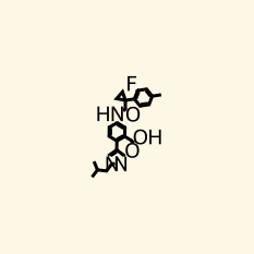 Cc1ccc(C2(C(=O)Nc3ccc(-c4cnn(CC(C)C)c4)c(C(=O)O)c3)CC2)c(F)c1